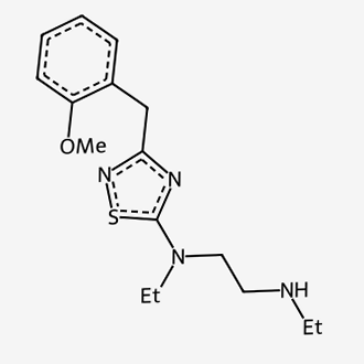 CCNCCN(CC)c1nc(Cc2ccccc2OC)ns1